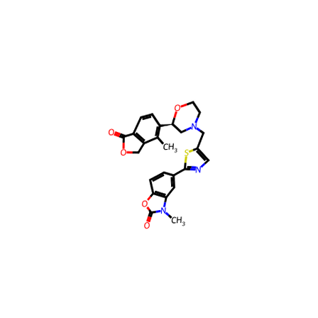 Cc1c([C@@H]2CN(Cc3cnc(-c4ccc5oc(=O)n(C)c5c4)s3)CCO2)ccc2c1COC2=O